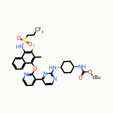 Cc1c(F)c(NS(=O)(=O)CCC(F)(F)F)c2ccccc2c1Oc1ncccc1-c1ccnc(N[C@H]2CC[C@H](NC(=O)OC(C)(C)C)CC2)n1